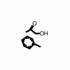 CC(=O)CO.Cc1ccccc1